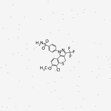 COc1ccc2c(c1Cl)SCc1c(C(F)(F)F)nn(-c3ccc(S(N)(=O)=O)cc3)c1-2